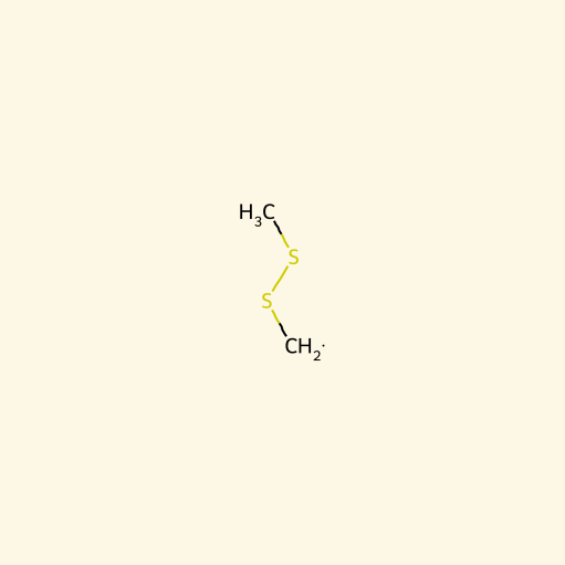 [CH2]SSC